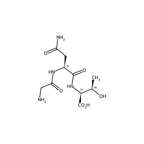 C[C@@H](O)[C@H](NC(=O)[C@H](CC(N)=O)NC(=O)CN)C(=O)O